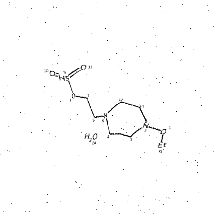 CCON1CCN(CCO[SH](=O)=O)CC1.O